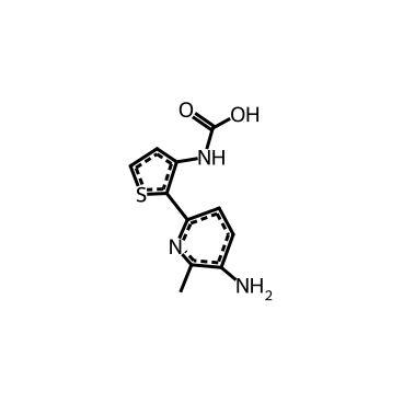 Cc1nc(-c2sccc2NC(=O)O)ccc1N